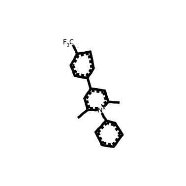 Cc1cc(-c2ccc(C(F)(F)F)cc2)cc(C)[n+]1-c1ccccc1